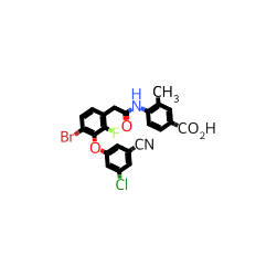 Cc1cc(C(=O)O)ccc1NC(=O)Cc1ccc(Br)c(Oc2cc(Cl)cc(C#N)c2)c1F